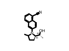 CC1CC[C@H]([C@@H](C)O)N1c1ccc2c(C#N)cccc2c1